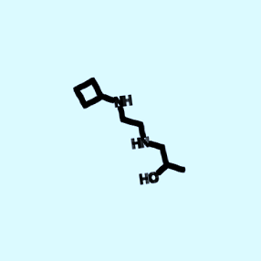 CC(O)CNCCNC1CCC1